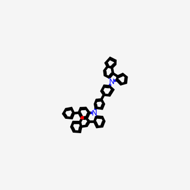 c1ccc(-c2ccc(N(c3ccc(-c4ccc(-n5c6ccccc6c6c7ccccc7ccc65)cc4)cc3)c3ccccc3-c3ccc4ccccc4c3)cc2)cc1